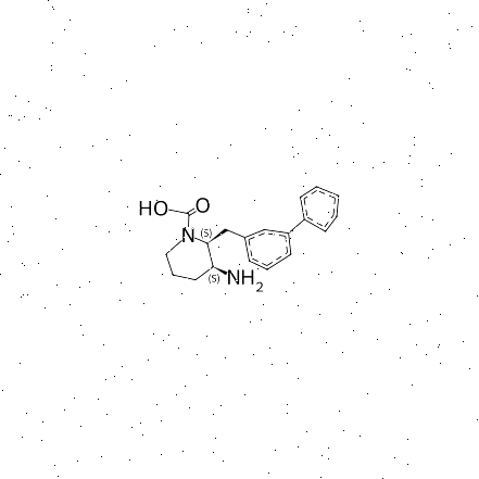 N[C@H]1CCCN(C(=O)O)[C@H]1Cc1cccc(-c2ccccc2)c1